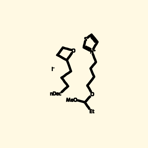 CCC(OC)OCCCC[n+]1ccsc1.CCCCCCCCCCCCCC1CCO1.[I-]